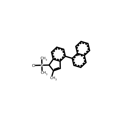 CC1=Cc2c(-c3cccc4ccccc34)cccc2C1S(C)(C)Cl